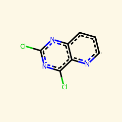 Clc1nc(Cl)c2n[c]ccc2n1